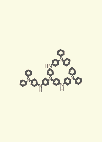 c1ccc(N(c2ccccc2)c2ccc(Nc3ccc(N(c4ccc(Nc5ccc(N(c6ccccc6)c6ccccc6)cc5)cc4)c4ccc(Nc5ccc(N(c6ccccc6)c6ccccc6)cc5)cc4)cc3)cc2)cc1